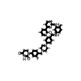 Cc1ccc(NC(=O)c2ccc(N3CCN(Cc4ccc(N5CCC(=O)NC5=O)cc4F)CC3)cc2)cc1Nc1nccc(-c2cccnc2)n1